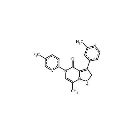 CC1=CN(c2ccc(C(F)(F)F)cn2)C(=O)C2=C(c3ccnc(C)c3)CNN12